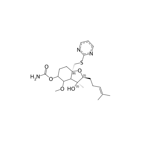 COC1C(OC(N)=O)CC[C@@]2(CSc3ncccn3)O[C@@H](CCC=C(C)C)[C@@](C)(O)C12